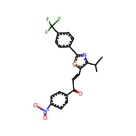 CC(C)c1nc(-c2ccc(C(F)(F)F)cc2)sc1C=CC(=O)c1ccc([N+](=O)[O-])cc1